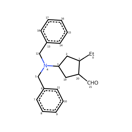 CCC1CC(N(Cc2ccccc2)Cc2ccccc2)CC1C=O